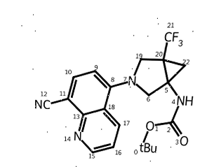 CC(C)(C)OC(=O)NC12CN(c3ccc(C#N)c4ncccc34)CC1(C(F)(F)F)C2